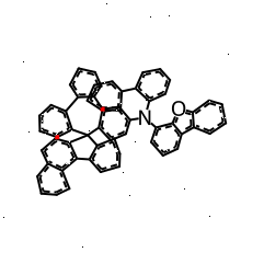 c1ccc(-c2ccccc2N(c2ccc3c(c2)-c2ccccc2-c2ccccc2C32c3ccccc3-c3c2ccc2ccccc32)c2cccc3c2oc2ccccc23)cc1